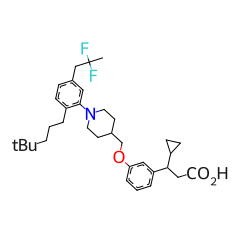 CC(C)(C)CCCc1ccc(CC(C)(F)F)cc1N1CCC(COc2cccc(C(CC(=O)O)C3CC3)c2)CC1